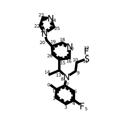 Cc1ccc(F)cc1N(CCSF)C(C)c1cncc(Cn2ccnc2)c1